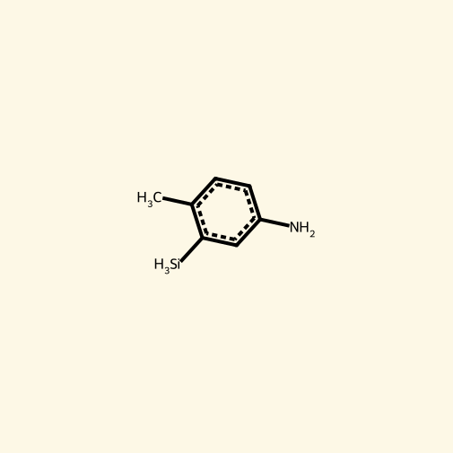 Cc1ccc(N)cc1[SiH3]